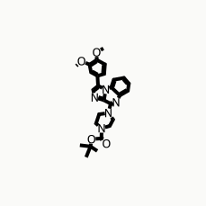 COc1ccc(-c2cnc3c(N4CCN(C(=O)OC(C)(C)C)CC4)nc4ccccc4n23)cc1OC